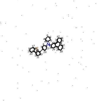 c1ccc(N(c2ccc(-c3cccc4c3sc3ccccc34)cc2)c2ccc3c4ccccc4c4ccccc4c3c2)cc1